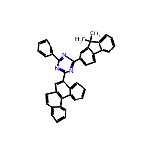 CC1(C)c2ccccc2-c2ccc(-c3nc(-c4ccccc4)nc(-c4cc5ccc6ccccc6c5c5ccccc45)n3)cc21